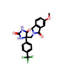 COc1ccc2c(c1)C(=O)N(CC1(c3ccc(C(F)(F)F)cc3)NC(=O)NC1=O)C2